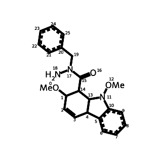 COC1C=CC2c3ccccc3N(OC)C2C1C(=O)N(N)Cc1ccccc1